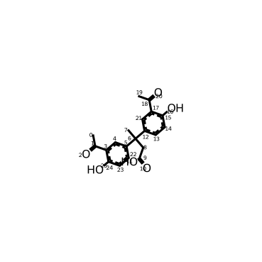 CC(=O)c1cc(C(C)(CC(=O)O)c2ccc(O)c(C(C)=O)c2)ccc1O